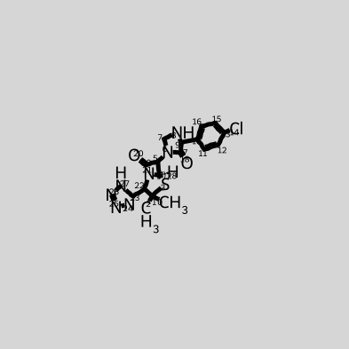 CC1(C)S[C@@H]2C(N3CNC(c4ccc(Cl)cc4)C3=O)C(=O)N2C1c1nnn[nH]1